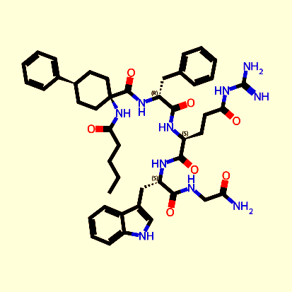 CCCCC(=O)N[C@]1(C(=O)N[C@H](Cc2ccccc2)C(=O)N[C@@H](CCC(=O)NC(=N)N)C(=O)N[C@@H](Cc2c[nH]c3ccccc23)C(=O)NCC(N)=O)CC[C@H](c2ccccc2)CC1